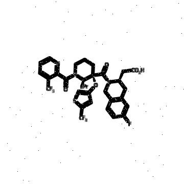 CCC[C@H]1N(C(=O)c2ncccc2C(F)(F)F)CCC[C@@]1(Oc1csc(C(F)(F)F)c1)C(=O)N1Cc2ccc(F)cc2C[C@@H]1CC(=O)O